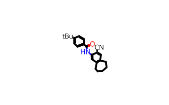 CC(C)(C)c1ccc(C(=O)Nc2cc3c(cc2C#N)CCCCC3)cc1